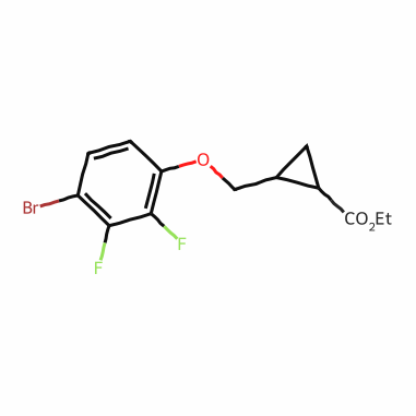 CCOC(=O)C1CC1COc1ccc(Br)c(F)c1F